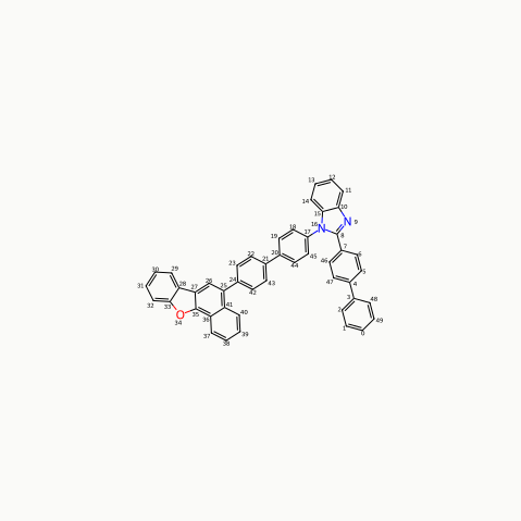 c1ccc(-c2ccc(-c3nc4ccccc4n3-c3ccc(-c4ccc(-c5cc6c7ccccc7oc6c6ccccc56)cc4)cc3)cc2)cc1